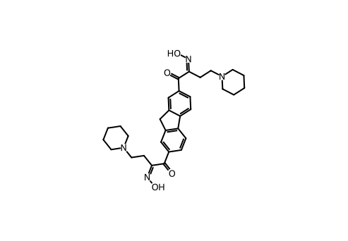 O=C(/C(CCN1CCCCC1)=N\O)c1ccc2c(c1)Cc1cc(C(=O)/C(CCN3CCCCC3)=N\O)ccc1-2